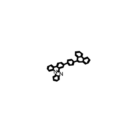 c1ccc2c(c1)cc(-c1ccc(-c3ccc4c5ccccc5n5c6ccccc6nc5c4c3)cc1)c1ccccc12